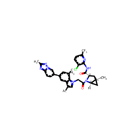 CC(=O)c1cn(CC(=O)N2[C@H](C(=O)Nc3nc(C(F)(F)F)ccc3Cl)C[C@@]3(C)C[C@@H]23)c2c(C)cc(-c3ccc4nc(C)nn4c3)cc12